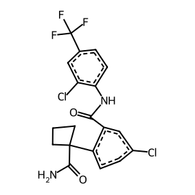 NC(=O)C1(c2ccc(Cl)cc2C(=O)Nc2ccc(C(F)(F)F)cc2Cl)CCC1